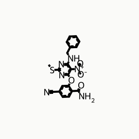 CSc1nc(NCc2ccccc2)c([N+](=O)[O-])c(Oc2cc(C#N)ccc2C(N)=O)n1